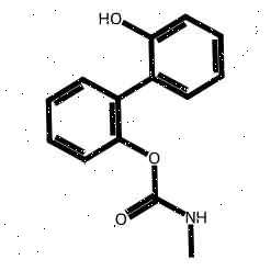 CNC(=O)Oc1[c]cccc1-c1ccccc1O